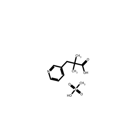 CC(C)(Cc1cccnc1)C(=O)O.CS(=O)(=O)O